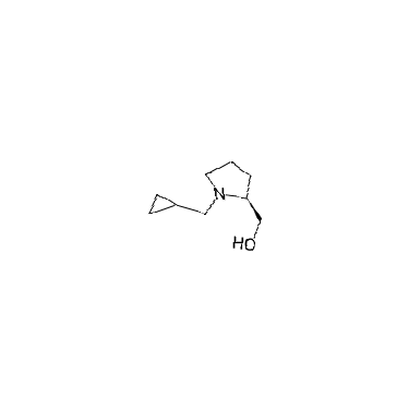 OC[C@@H]1CCCN1CC1CC1